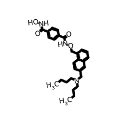 CCCCN(CCCC)Cc1ccc2c(CONC(=O)c3ccc(C(=O)NO)cc3)cccc2c1